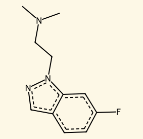 CN(C)CCn1ncc2ccc(F)cc21